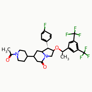 CC(=O)N1CCC(C2CC(=O)N3CC(O[C@H](C)c4cc(C(F)(F)F)cc(C(F)(F)F)c4)[C@@H](c4ccc(F)cc4)C3C2)CC1